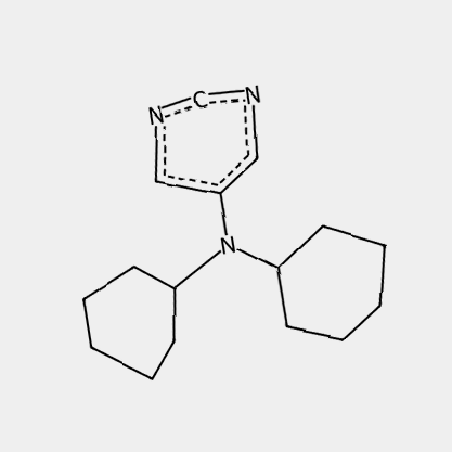 c1ncc(N(C2CCCCC2)C2CCCCC2)cn1